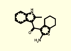 Cc1[nH]c2ccccc2c1C(=O)c1c(N)sc2c1CCCC2